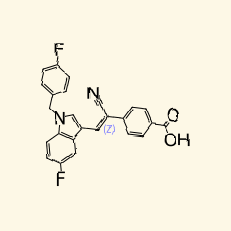 N#C/C(=C\c1cn(Cc2ccc(F)cc2)c2ccc(F)cc12)c1ccc(C(=O)O)cc1